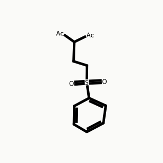 CC(=O)C(CCS(=O)(=O)c1ccccc1)C(C)=O